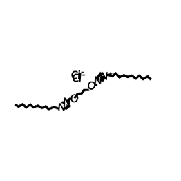 CCCCCCCCCCCC[n+]1ccn(COCCCCOCn2cc[n+](CCCCCCCCCCCC)c2)c1.[Cl-].[Cl-]